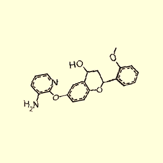 COc1ccccc1C1CC(O)c2cc(Oc3ncccc3N)ccc2O1